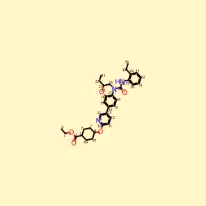 CCOC(=O)C1CCC(Oc2ccc(-c3ccc4c(c3)OC(CC)CN4C(=O)Nc3ccccc3CC)cn2)CC1